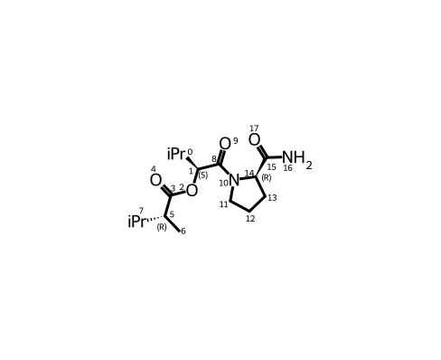 CC(C)[C@H](OC(=O)[C@H](C)C(C)C)C(=O)N1CCC[C@@H]1C(N)=O